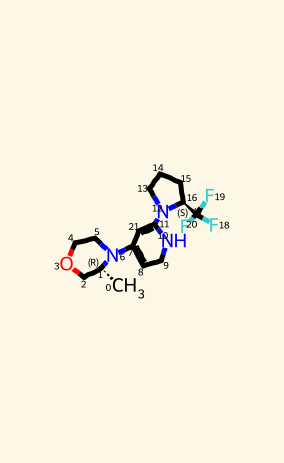 C[C@@H]1COCCN1C1=CCNC(N2CCC[C@H]2C(F)(F)F)=C1